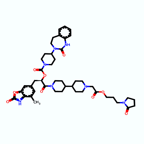 Cc1cc(C[C@@H](OC(=O)N2CCC(N3CCc4ccccc4NC3=O)CC2)C(=O)N2CCC(C3CCN(CC(=O)OCCCN4CCCC4=O)CC3)CC2)cc2oc(=O)[nH]c12